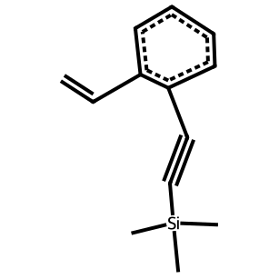 C=Cc1ccccc1C#C[Si](C)(C)C